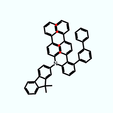 CC1(C)c2ccccc2-c2ccc(N(c3ccc(-c4ccccc4)cc3)c3cccc(-c4cccc(-c5ccccc5)c4)c3-c3ccc(-c4ccccc4)cc3)cc21